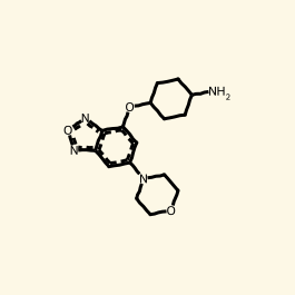 NC1CCC(Oc2cc(N3CCOCC3)cc3nonc23)CC1